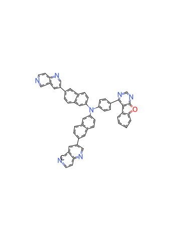 c1ccc2c(c1)oc1ncnc(-c3ccc(N(c4ccc5cc(-c6cnc7ccncc7c6)ccc5c4)c4ccc5cc(-c6cnc7ccncc7c6)ccc5c4)cc3)c12